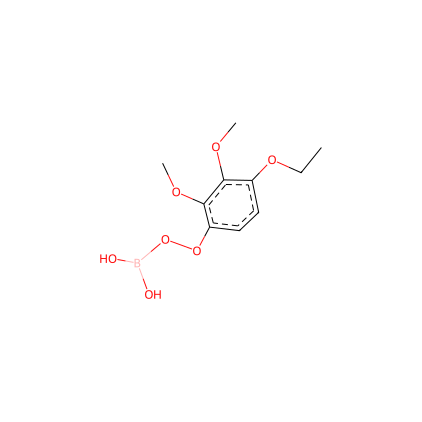 CCOc1ccc(OOB(O)O)c(OC)c1OC